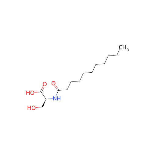 CCCCCCCCCCC(=O)N[C@@H](CO)C(=O)O